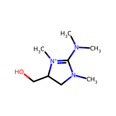 CN(C)C1=[N+](C)C(CO)CN1C